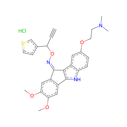 C#CC(ON=C1c2cc(OC)c(OC)cc2-c2[nH]c3ccc(OCCN(C)C)cc3c21)c1ccsc1.Cl